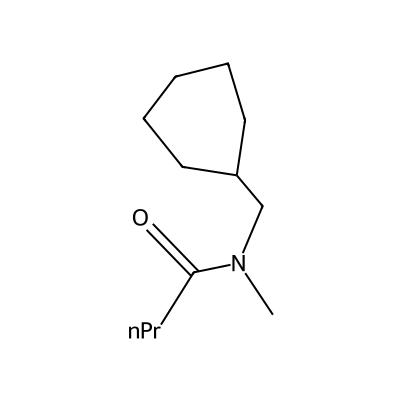 CCCC(=O)N(C)CC1CCCCC1